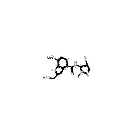 COCc1cc2c(C(=O)Nc3c(Cl)cnn3C)ccc(OC)c2o1